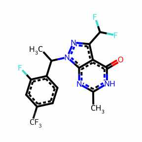 Cc1nc2c(c(C(F)F)nn2C(C)c2ccc(C(F)(F)F)cc2F)c(=O)[nH]1